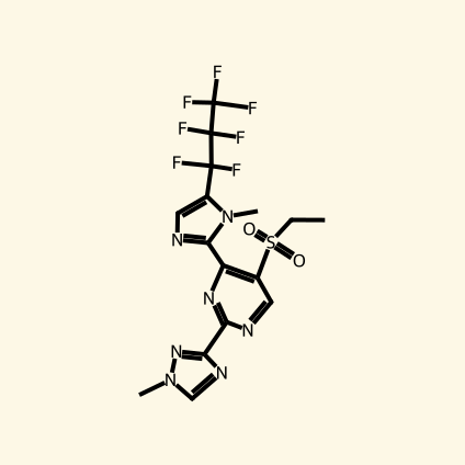 CCS(=O)(=O)c1cnc(-c2ncn(C)n2)nc1-c1ncc(C(F)(F)C(F)(F)C(F)(F)F)n1C